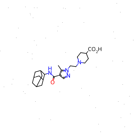 Cc1c(C(=O)NC2C3CC4CC(C3)CC2C4)cnn1CCN1CCC(C(=O)O)CC1